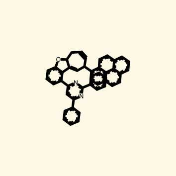 C1#CC(c2ccc3ccc4cccc5ccc2c3c45)C=C2c3c(cccc3-c3cc(-c4ccccc4)nc(-c4ccccc4)n3)OC2C1